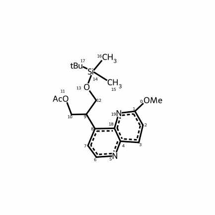 COc1ccc2nccc(C(COC(C)=O)CO[Si](C)(C)C(C)(C)C)c2n1